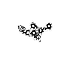 Cn1c(=O)n(-c2ccc(OCc3ccccc3)nc2OCc2ccccc2)c2ccc(N3CCC(CC(=O)OC(C)(C)C)CC3)cc21